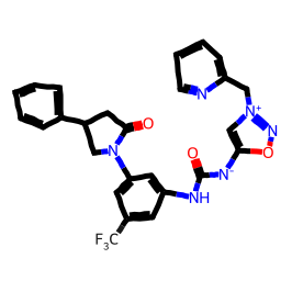 O=C([N-]c1c[n+](Cc2ccccn2)no1)Nc1cc(N2CC(c3ccccc3)CC2=O)cc(C(F)(F)F)c1